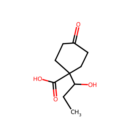 CCC(O)C1(C(=O)O)CCC(=O)CC1